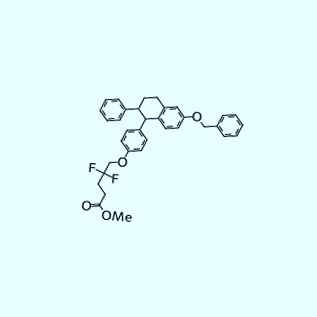 COC(=O)CCC(F)(F)COc1ccc(C2c3ccc(OCc4ccccc4)cc3CCC2c2ccccc2)cc1